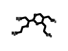 CCCC1OP(C(CN)OCCN)OCC1CC